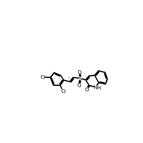 O=c1[nH]c2ccccc2cc1S(=O)(=O)/C=C/c1ccc(Cl)cc1Cl